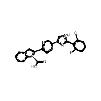 O=C(O)n1c(-c2ccc(-c3c[nH]c(-c4c(F)cccc4Cl)n3)cn2)cc2ccccc21